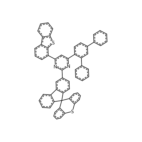 c1ccc(-c2ccc(-c3cc(-c4cccc5c4sc4ccccc45)nc(-c4ccc5c(c4)-c4ccccc4C54c5ccccc5Sc5ccccc54)n3)c(-c3ccccc3)c2)cc1